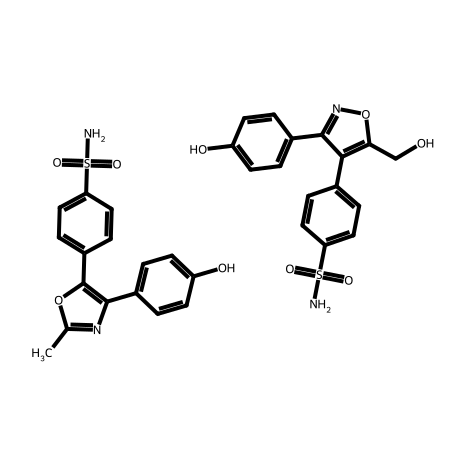 Cc1nc(-c2ccc(O)cc2)c(-c2ccc(S(N)(=O)=O)cc2)o1.NS(=O)(=O)c1ccc(-c2c(-c3ccc(O)cc3)noc2CO)cc1